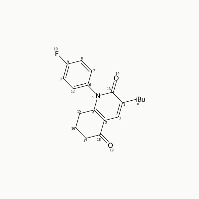 CCC(C)c1cc2c(n(-c3ccc(F)cc3)c1=O)CCCC2=O